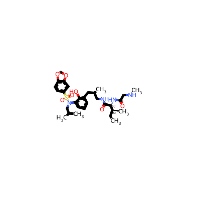 CC[C@H](C)[C@@H](NC(=O)CNC)C(=O)NCC(C)Cc1cccc(N(CC(C)C)S(=O)(=O)c2ccc3c(c2)OCO3)c1O